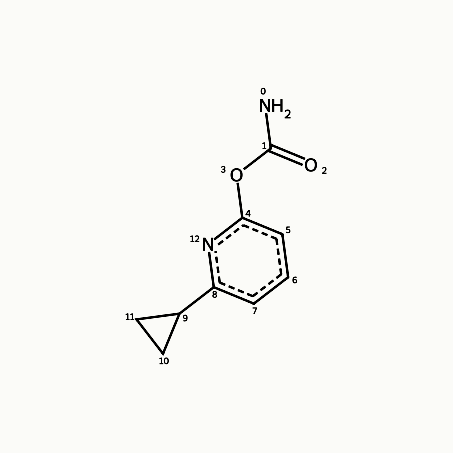 NC(=O)Oc1cccc(C2CC2)n1